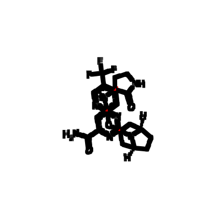 NC(=O)c1cc(NC2CCNC2=O)nc(N2[C@@H]3CC[C@H]2CC(Oc2ccc(C(F)(F)F)cn2)C3)n1